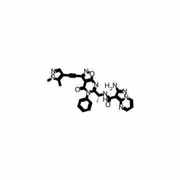 Cc1c(C#Cc2noc3nc([C@@H](C)NC(=O)c4c(N)nn5cccnc45)n(-c4ccccc4)c(=O)c23)cnn1C